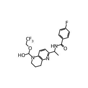 CC(NC(=O)c1ccc(F)cc1)c1ccc2c(n1)CCCN2C(O)OCC(F)(F)F